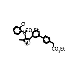 CCOC(=O)Cc1ccc(-c2cccc(-c3onc(C)c3N(C(=O)OCC)c3ccccc3Cl)c2)cc1